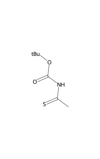 CC(=S)NC(=O)OC(C)(C)C